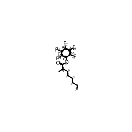 CCCCCCC(C)C(=O)Oc1c(F)c(F)c(F)c(F)c1F